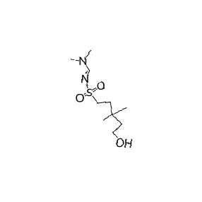 CN(C)C=NS(=O)(=O)CCC(C)(C)CCO